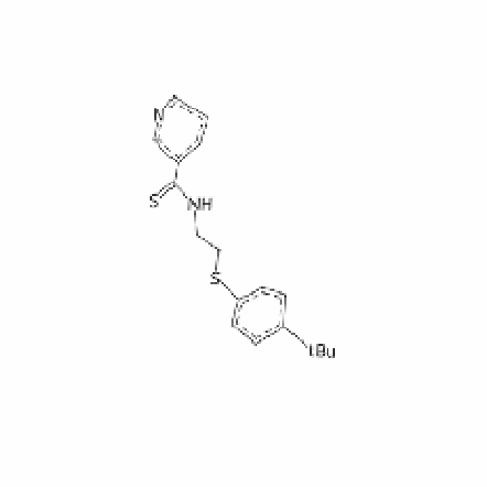 CC(C)(C)c1ccc(SCCNC(=S)c2cccnc2)cc1